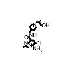 Cc1cn2c(N)c(Cl)cc(C(=O)NCC3CCN(C[C@@H](C)CO)CC3)c2n1